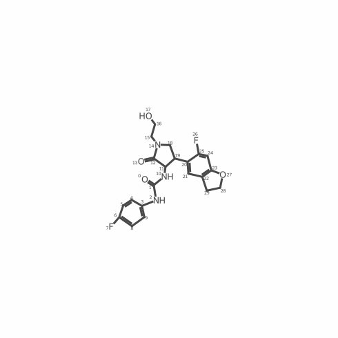 O=C(Nc1ccc(F)cc1)NC1C(=O)N(CCO)CC1c1cc2c(cc1F)OCC2